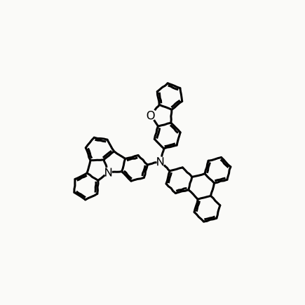 C1=CCC2C(=C1)C1=CC=C(N(c3ccc4c(c3)oc3ccccc34)c3ccc4c(c3)c3cccc5c6ccccc6n4c53)CC1c1ccccc12